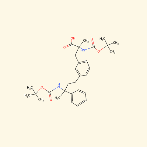 CC(C)(C)OC(=O)NC(C)(Cc1cccc(CCC(C)(NC(=O)OC(C)(C)C)c2ccccc2)c1)C(=O)O